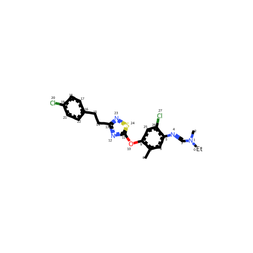 CCN(C)C=Nc1cc(C)c(Oc2nc(CCc3ccc(Cl)cc3)ns2)cc1Cl